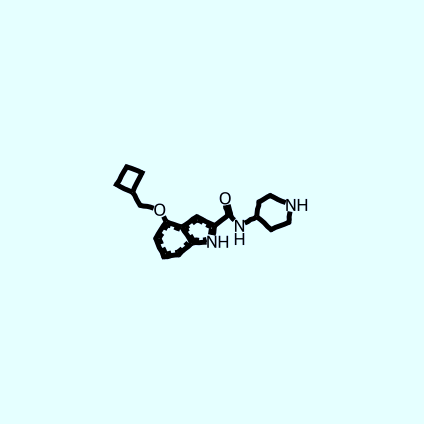 O=C(NC1CCNCC1)c1cc2c(OCC3CCC3)cccc2[nH]1